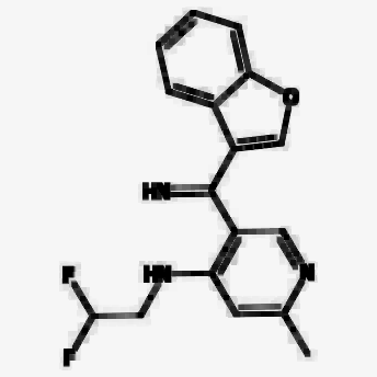 Cc1cc(NCC(F)F)c(C(=N)c2coc3ccccc23)cn1